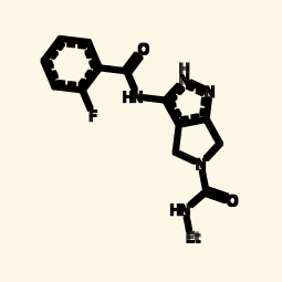 CCNC(=O)N1Cc2n[nH]c(NC(=O)c3ccccc3F)c2C1